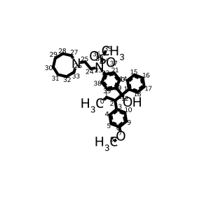 CCC(c1ccc(OC)cc1)C(O)(c1ccccc1)c1ccc(N(CCN2CCCCCCC2)S(C)(=O)=O)cc1